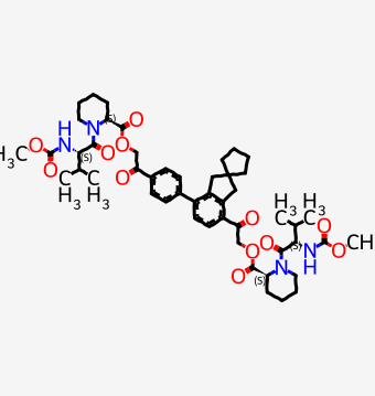 COC(=O)N[C@H](C(=O)N1CCCC[C@H]1C(=O)OCC(=O)c1ccc(-c2ccc(C(=O)COC(=O)[C@@H]3CCCCN3C(=O)[C@@H](NC(=O)OC)C(C)C)c3c2CC2(CCCC2)C3)cc1)C(C)C